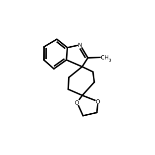 CC1=Nc2ccccc2C12CCC1(CC2)OCCO1